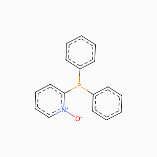 [O-][n+]1ccccc1P(c1ccccc1)c1ccccc1